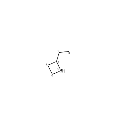 CCC1BCC1